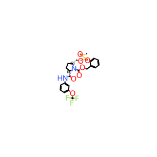 CS(=O)(=O)OC[C@H]1CC[C@@H](C(=O)Nc2cccc(OC(F)(F)F)c2)N1C(=O)OCc1ccccc1